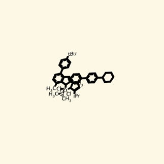 CC1=Cc2c(-c3ccc(C(C)(C)C)cc3)ccc(C)c2[CH]1[Zr]([Cl])([Cl])([CH]1C(C(C)C)=Cc2c(-c3ccc(C4CCCCC4)cc3)cccc21)[SiH](C)C